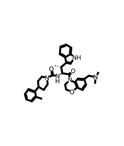 Cc1ccccc1C1CCN(C(=O)N[C@@H](C(=O)N2CCOc3ccc(CN(C)C)cc32)[C@H](C)c2c[nH]c3ccccc23)CC1